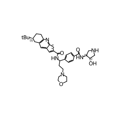 CC(C)(C)[C@H]1CCc2nc3sc(C(=O)NC(CCN4CCOCC4)c4ccc(C(=O)N[C@H]5CNC[C@@H]5O)cc4)cc3cc2C1